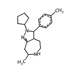 Cc1ccc(C2C3CCNC(C)CC3=NN2C2CCCC2)cc1